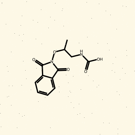 CC(CNC(=O)O)ON1C(=O)c2ccccc2C1=O